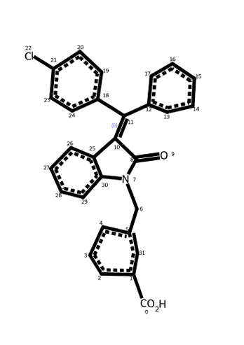 O=C(O)c1cccc(CN2C(=O)/C(=C(\c3ccccc3)c3ccc(Cl)cc3)c3ccccc32)c1